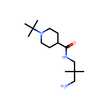 CC(C)(CN)CNC(=O)C1CCN(C(C)(C)C)CC1